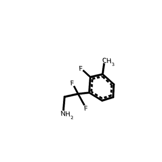 Cc1cccc(C(F)(F)CN)c1F